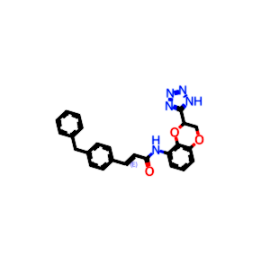 O=C(/C=C/c1ccc(Cc2ccccc2)cc1)Nc1cccc2c1OC(c1nnn[nH]1)CO2